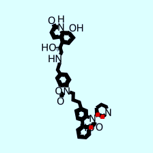 O=C(O)N(c1cc(CCCn2c(=O)oc3cc(CCNC[C@H](O)c4ccc(O)c5[nH]c(=O)ccc45)ccc32)ccc1-c1ccccc1)C1CN2CCC1CC2